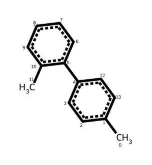 Cc1ccc(-c2cc[c]cc2C)cc1